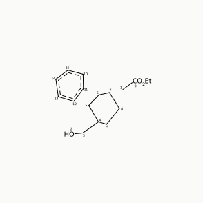 CCOC(C)=O.OCC1CCCCC1.c1ccccc1